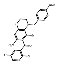 COc1ccc(CN2CCOc3cc(N)c(C(=O)c4cc(F)ccc4Cl)c(Br)c32)cc1